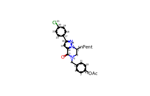 CCCCCC1CN(Cc2ccc(OC(C)=O)cc2)C(=O)c2cc(-c3ccc(Cl)cc3)nn21